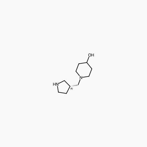 OC1CCN(C[C@@H]2CCNC2)CC1